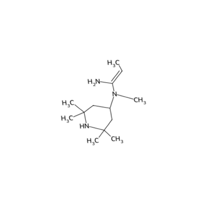 C/C=C(\N)N(C)C1CC(C)(C)NC(C)(C)C1